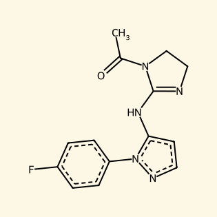 CC(=O)N1CCN=C1Nc1ccnn1-c1ccc(F)cc1